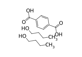 CCCCO.CCCCO.O=C(O)c1ccc(C(=O)O)cc1